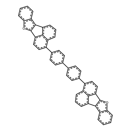 c1ccc2c3c(oc2c1)-c1ccc(-c2ccc(-c4ccc(-c5ccc6c7c(cccc57)-c5c-6oc6ccccc56)cc4)cc2)c2cccc-3c12